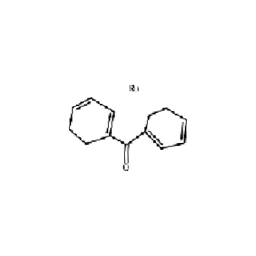 O=C(C1=CC=CCC1)C1=CC=CCC1.[Ru]